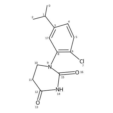 CC(C)c1ccc(Cl)c(N2CCC(=O)NC2=O)c1